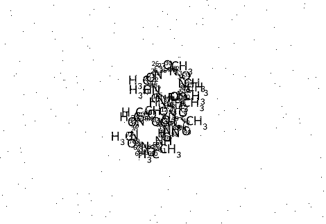 Cc1c2oc3c(C)cc(F)c(C(=O)NC4C(=O)NC(C(C)C)C(=O)N5CCCC5C(=O)N(C)CC(=O)N(C)C(C(C)C)C(=O)OC4C)c3nc-2c(C(=O)NC2C(=O)NC(C(C)C)C(=O)N3CCCC3C(=O)N(C)CC(=O)N(C)C(C(C)C)C(=O)OC2C)c(N)c1=O